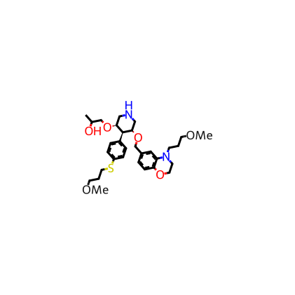 COCCCSc1ccc([C@@H]2[C@@H](OCc3ccc4c(c3)N(CCCOC)CCO4)CNC[C@H]2OCC(C)O)cc1